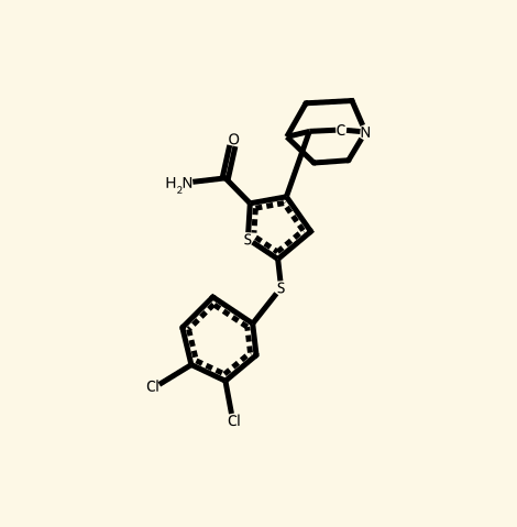 NC(=O)c1sc(Sc2ccc(Cl)c(Cl)c2)cc1C1CN2CCC1CC2